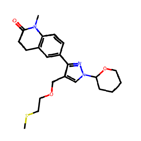 CSCCOCc1cn(C2CCCCO2)nc1-c1ccc2c(c1)CCC(=O)N2C